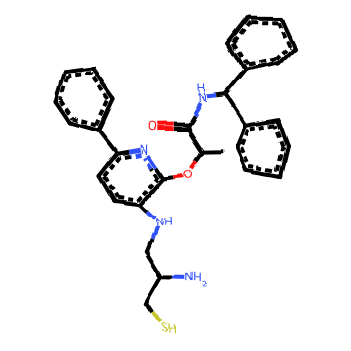 CC(Oc1nc(-c2ccccc2)ccc1NCC(N)CS)C(=O)NC(c1ccccc1)c1ccccc1